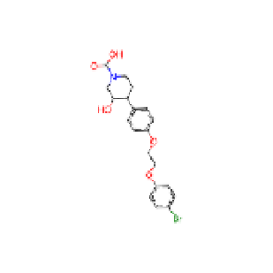 O=C(O)N1CCC(c2ccc(OCCOc3ccc(Br)cc3)cc2)C(O)C1